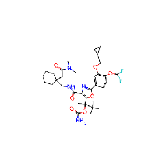 CN(C)C(=O)CC1(CNC(=O)c2nc(-c3ccc(OC(F)F)c(OCC4CC4)c3)oc2C(C)(OC(N)=O)C(C)(C)C)CCCCC1